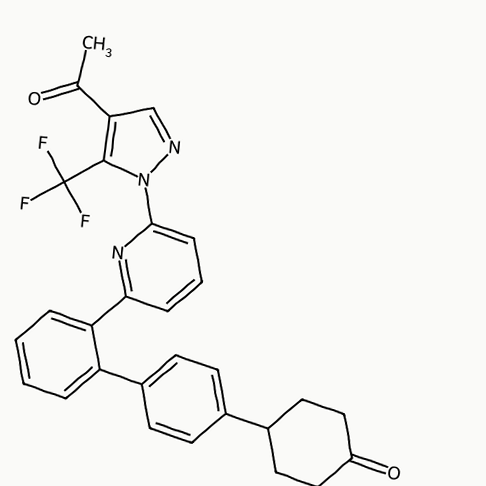 CC(=O)c1cnn(-c2cccc(-c3ccccc3-c3ccc(C4CCC(=O)CC4)cc3)n2)c1C(F)(F)F